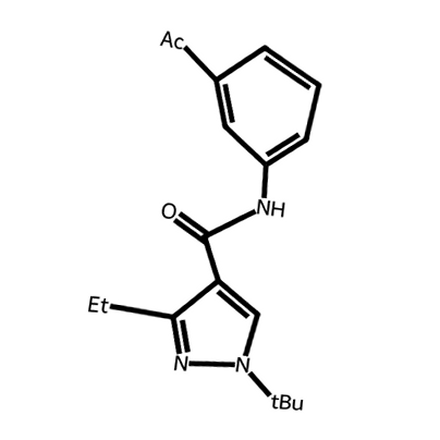 CCc1nn(C(C)(C)C)cc1C(=O)Nc1cccc(C(C)=O)c1